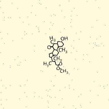 C=C1C(=O)C2C(CC[C@@]3(C)C2CCC3[C@H](C)CCC(=O)OCC)[C@@]2(C)CC[C@@H](O)CC12